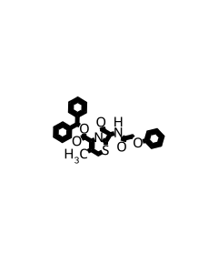 CC1=C(C(=O)OC(c2ccccc2)c2ccccc2)N2C(=O)C(NC(=O)COc3ccccc3)C2SC1